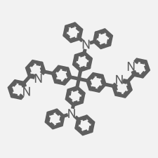 c1ccc(N(c2ccccc2)c2ccc(C(c3ccc(-c4cccc(-c5ccccn5)n4)cc3)(c3ccc(-c4cccc(-c5ccccn5)n4)cc3)c3ccc(N(c4ccccc4)c4ccccc4)cc3)cc2)cc1